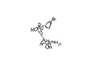 Nc1nc2c(ncn2CCOCP(=O)(O)OCc2cccc(Br)c2)c(=O)[nH]1